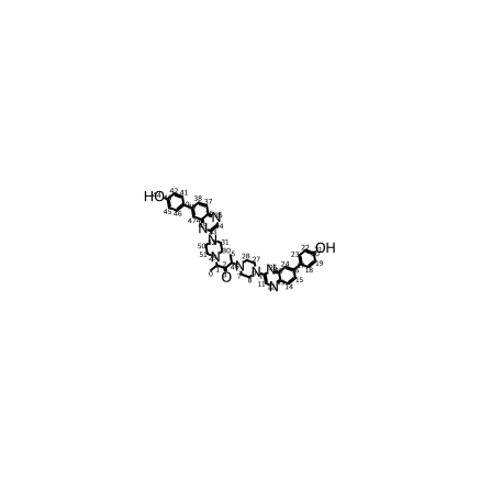 CC(C(=O)C(C)N1CCN(c2cnc3ccc(-c4ccc(O)cc4)cc3n2)CC1)N1CCN(c2cnc3ccc(-c4ccc(O)cc4)cc3n2)CC1